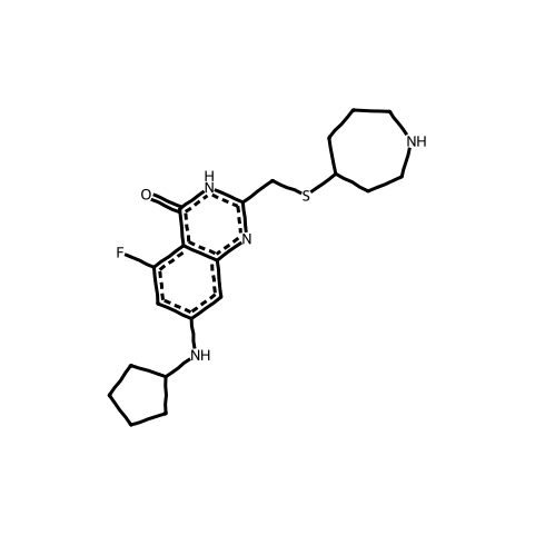 O=c1[nH]c(CSC2CCCNCC2)nc2cc(NC3CCCC3)cc(F)c12